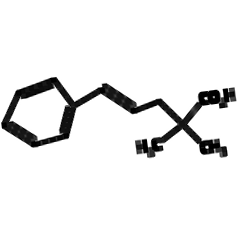 CC(C)(CC=Cc1ccccc1)C(=O)O